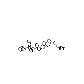 CC(C)CCCC(C)C1CCC2C3CC=C4CC(OC(=O)CCC(=O)NCCN5CCOCC5)CCC4(C)C3CCC12C